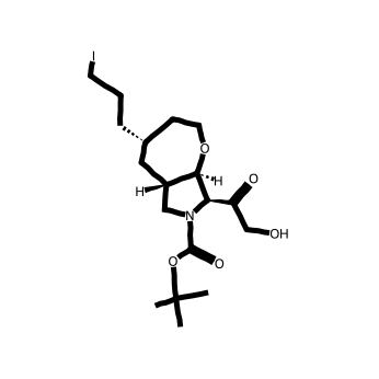 CC(C)(C)OC(=O)N1C[C@@H]2C[C@H](CCCI)CCO[C@H]2[C@H]1C(=O)CO